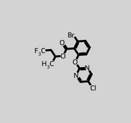 CC(CC(F)(F)F)OC(=O)c1c(Br)cccc1Oc1ncc(Cl)cn1